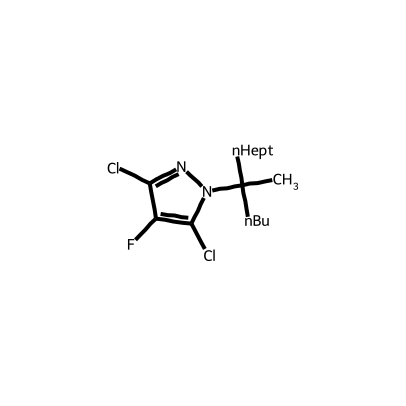 CCCCCCCC(C)(CCCC)n1nc(Cl)c(F)c1Cl